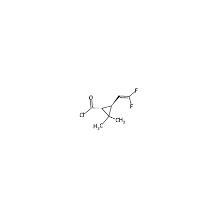 CC1(C)[C@H](C=C(F)F)[C@H]1C(=O)Cl